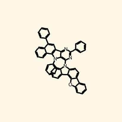 c1ccc(-c2nc(-n3c4ccccc4c4c5oc6ccccc6c5ccc43)c3c(n2)c2cc(-c4ccccc4)c4ccccc4c2n3-c2ccccc2)cc1